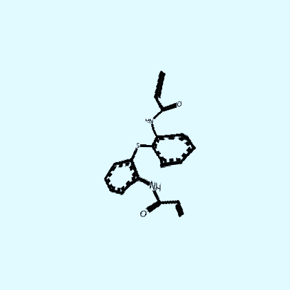 C=CC(=O)Nc1ccccc1Sc1ccccc1NC(=O)C=C